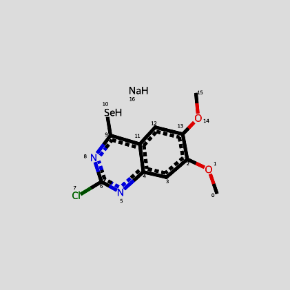 COc1cc2nc(Cl)nc([SeH])c2cc1OC.[NaH]